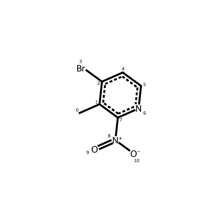 Cc1c(Br)ccnc1[N+](=O)[O-]